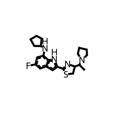 CC(C1CSC(c2cc3cc(F)cc(NC4CCCC4)c3[nH]2)=N1)N1CCCC1